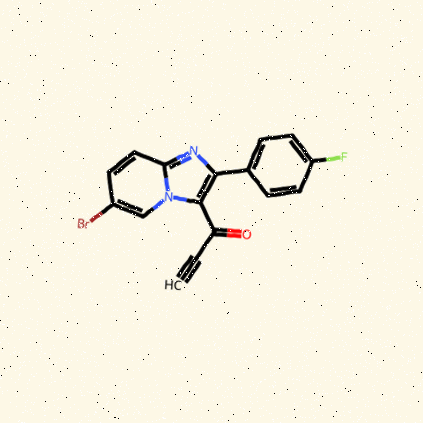 C#CC(=O)c1c(-c2ccc(F)cc2)nc2ccc(Br)cn12